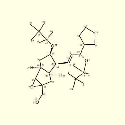 CC(C)(C)[Si](C)(C)O[C@H](/C=C/[C@H]1[C@H]2CC3(CO)OC3[C@H]2C[C@H]1O[Si](C)(C)C(C)(C)C)C1CCCC1